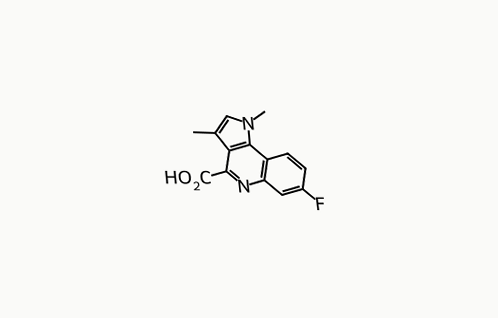 Cc1cn(C)c2c1c(C(=O)O)nc1cc(F)ccc12